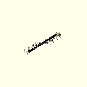 CC(C)=CCC/C(C)=C/CC/C(C)=C/CC/C(C)=C/C=C/C=C(\C)CC/C=C(\C)CC/C=C(\C)CCCC(C)(C)O